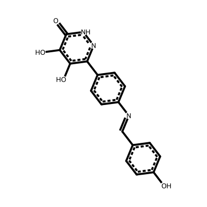 O=c1[nH]nc(-c2ccc(N=Cc3ccc(O)cc3)cc2)c(O)c1O